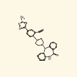 Cc1noc(-c2ccc(N3CCN(C4c5ccccc5NC(=O)c5ccccc54)CC3)c(C#N)c2)n1